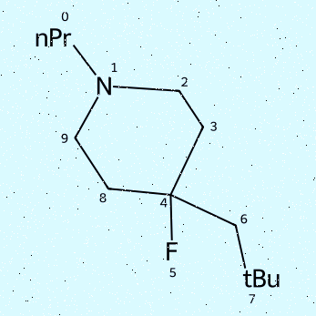 CCCN1CCC(F)(CC(C)(C)C)CC1